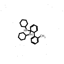 Cc1ccccc1C1C=CC=CC1(PC1CCCCC1)PC1CCCCC1